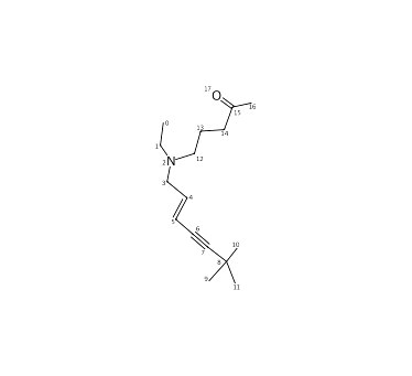 CCN(C/C=C/C#CC(C)(C)C)CCCC(C)=O